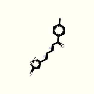 Cc1ccc(C(=O)/C=C/C=C/c2cc(=S)ss2)cc1